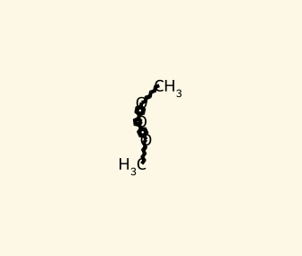 CCCCC=CCOc1ccc(-c2ccc(-c3ccc(OCC=CCCCC)cc3)o2)cc1